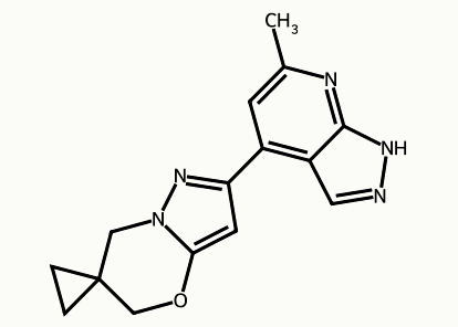 Cc1cc(-c2cc3n(n2)CC2(CC2)CO3)c2cn[nH]c2n1